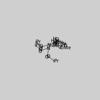 CCCCOc1nc(NC(=O)CCCCCN(CCCCCCCCC(=O)OCCCCCCCC(C)C)CCCN(CCCCCCCCC(=O)OCCCCCCCC(C)C)CCCCCCCCC(=O)OCCCCCCCC(C)C)c2[nH]c(=O)n(CCCN(CCCN3CCOCC3)Cc3cccc(C(=O)OC)c3)c2n1